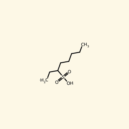 [CH2]CC(CCCCC)S(=O)(=O)O